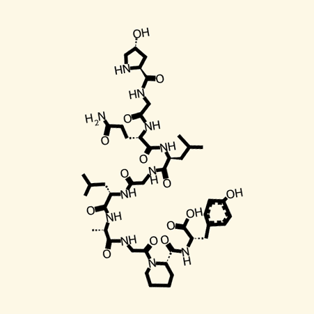 CC(C)C[C@H](NC(=O)CNC(=O)[C@H](CC(C)C)NC(=O)[C@H](CCC(N)=O)NC(=O)CNC(=O)[C@@H]1C[C@@H](O)CN1)C(=O)N[C@@H](C)C(=O)NCC(=O)N1CCCC[C@H]1C(=O)N[C@@H](Cc1ccc(O)cc1)C(=O)O